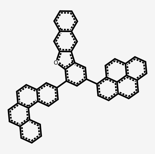 c1ccc2cc3c(cc2c1)oc1c(-c2ccc4c(ccc5ccc6ccccc6c54)c2)cc(-c2ccc4ccc5cccc6ccc2c4c56)cc13